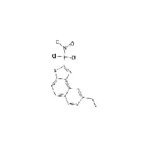 CCc1ccc2ccc3sc(C(Cl)(Cl)[N+](=O)[O-])nc3c2c1